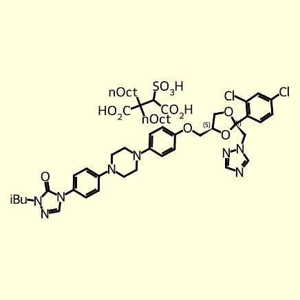 CCC(C)n1ncn(-c2ccc(N3CCN(c4ccc(OC[C@H]5CO[C@](Cn6cncn6)(c6ccc(Cl)cc6Cl)O5)cc4)CC3)cc2)c1=O.CCCCCCCCC(CCCCCCCC)(C(=O)O)C(C(=O)O)S(=O)(=O)O